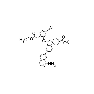 CCOC(=O)Cc1ccc(C#N)cc1OC1CC2(CCN(C(=O)OC)CC2)c2ccc(-c3ccc4ccnc(N)c4c3)cc21